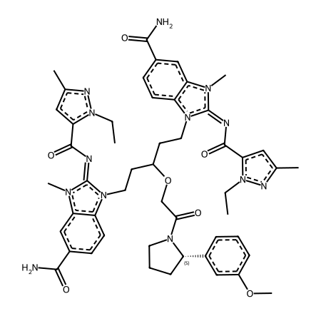 CCn1nc(C)cc1C(=O)N=c1n(C)c2cc(C(N)=O)ccc2n1CCC(CCn1c(=NC(=O)c2cc(C)nn2CC)n(C)c2cc(C(N)=O)ccc21)OCC(=O)N1CCC[C@H]1c1cccc(OC)c1